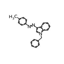 Cc1ccc(/N=N/c2cn(Cc3ccccc3)c3ccccc23)cc1